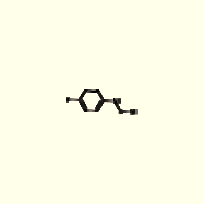 Fc1ccc(NSS)cc1